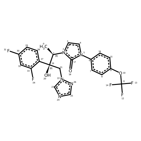 C[C@@H](n1ccn(-c2ccc(OC(F)(F)F)cc2)c1=O)[C@](O)(Cn1cncn1)c1ccc(F)cc1F